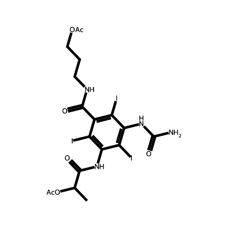 CC(=O)OCCCNC(=O)c1c(I)c(NC(N)=O)c(I)c(NC(=O)C(C)OC(C)=O)c1I